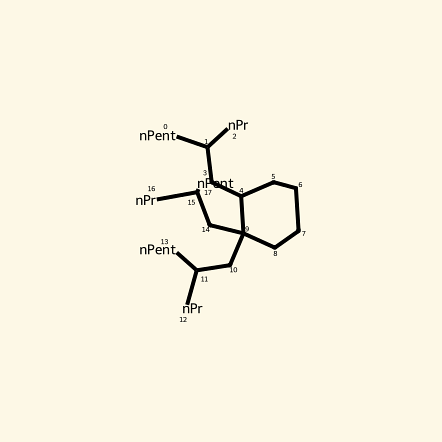 CCCCCC(CCC)CC1CCCCC1(CC(CCC)CCCCC)CC(CCC)CCCCC